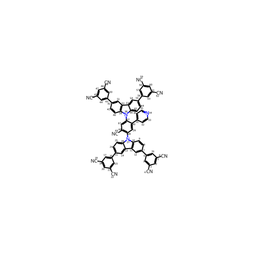 N#Cc1cc(C#N)cc(-c2ccc3c(c2)c2cc(-c4cc(C#N)cc(C#N)c4)ccc2n3-c2cc(-c3ccncc3)c(-n3c4ccc(-c5cc(C#N)cc(C#N)c5)cc4c4cc(-c5cc(C#N)cc(C#N)c5)ccc43)cc2C#N)c1